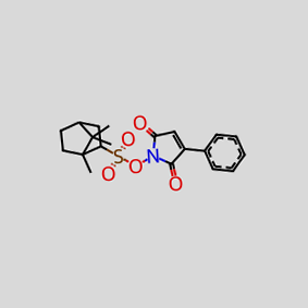 CC1(C)C2CCC1(C)C(S(=O)(=O)ON1C(=O)C=C(c3ccccc3)C1=O)C2